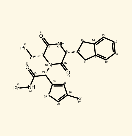 CC(C)C[C@@H]1C(=O)N[C@H](C2Cc3ccccc3C2)C(=O)N1[C@@H](C(=O)NC(C)C)c1cc(Br)cs1